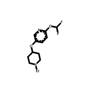 CCN1CCC(Oc2ccc(OC(F)F)nc2)CC1